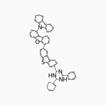 C1=CCCC(C2NC(c3ccccc3)=NC(c3ccc4c(c3)sc3ccc(-c5cccc6c5oc5cccc(-n7c8ccccc8c8ccccc87)c56)cc34)N2)=C1